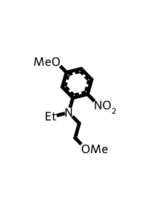 CCN(CCOC)c1cc(OC)ccc1[N+](=O)[O-]